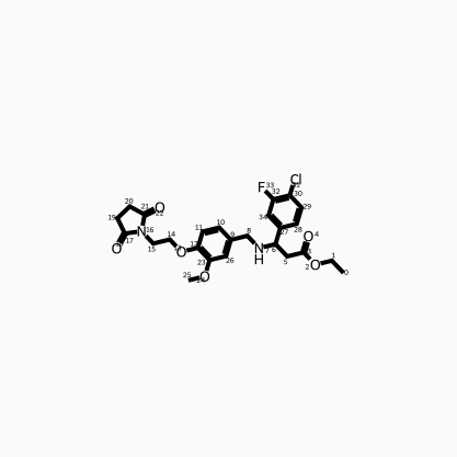 CCOC(=O)CC(NCc1ccc(OCCN2C(=O)CCC2=O)c(OC)c1)c1ccc(Cl)c(F)c1